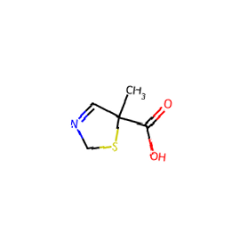 CC1(C(=O)O)C=NCS1